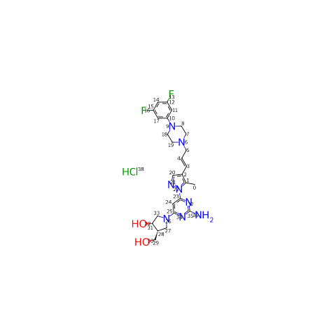 Cc1c(C=CCN2CCN(c3cc(F)cc(F)c3)CC2)cnn1-c1cc(N2C[C@@H](CO)[C@@H](O)C2)nc(N)n1.Cl